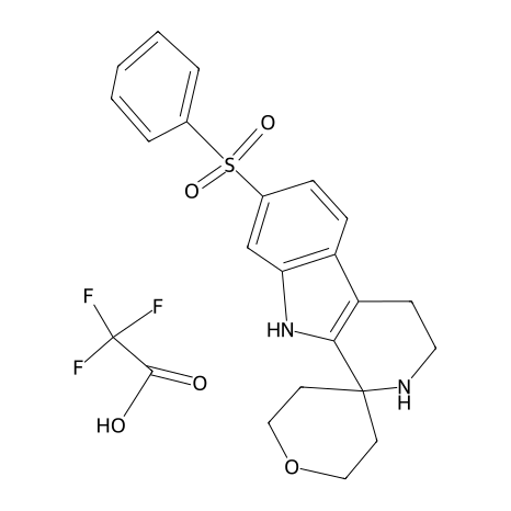 O=C(O)C(F)(F)F.O=S(=O)(c1ccccc1)c1ccc2c3c([nH]c2c1)C1(CCOCC1)NCC3